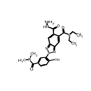 CCN(CC)C(=O)c1cc2nn(-c3cc(C(=O)N(C)C)ccc3O)nc2cc1C(=O)NN